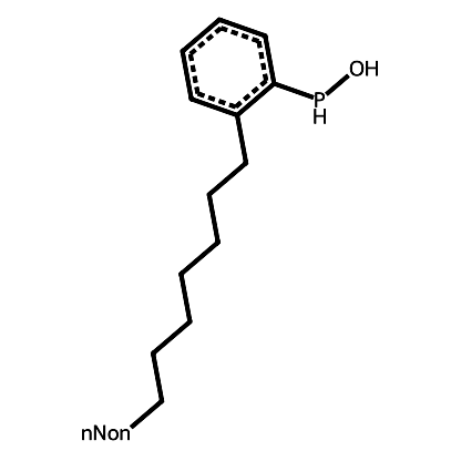 CCCCCCCCCCCCCCCCc1ccccc1PO